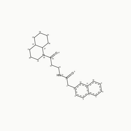 O=C(Cc1ccc2ccccc2c1)NCCC(=O)N1CCCC2CCCCC21